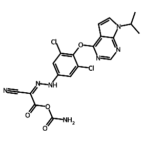 CC(C)n1ccc2c(Oc3c(Cl)cc(NN=C(C#N)C(=O)OC(N)=O)cc3Cl)ncnc21